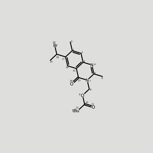 Cc1cc2nc(C)n(COC(=O)C(C)(C)C)c(=O)c2cc1C(C)Br